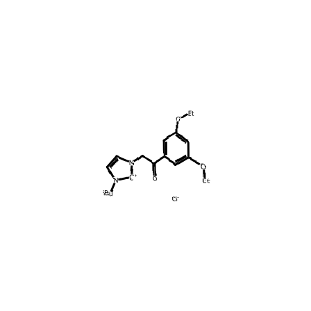 CCOc1cc(OCC)cc(C(=O)CN2[C+]N(C(C)CC)C=C2)c1.[Cl-]